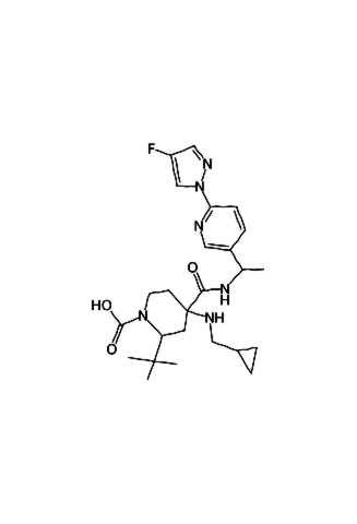 CC(NC(=O)C1(NCC2CC2)CCN(C(=O)O)C(C(C)(C)C)C1)c1ccc(-n2cc(F)cn2)nc1